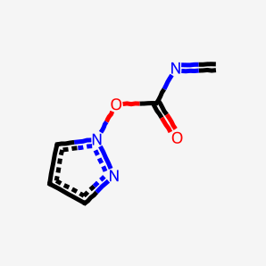 C=NC(=O)On1cccn1